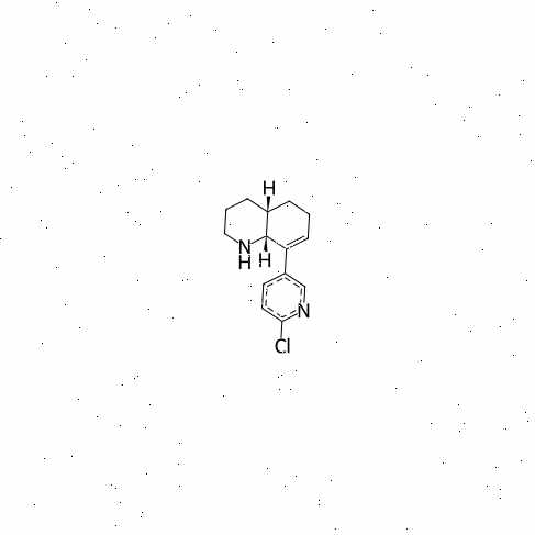 Clc1ccc(C2=CCC[C@H]3CCCN[C@@H]23)cn1